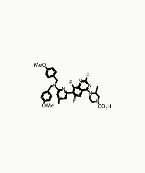 COc1ccc(CN(Cc2ccc(OC)cc2)c2cc(C)cc(-c3c(F)cc4c(N5CCN(C(=O)O)CC5C)nc(F)nc4c3F)n2)cc1